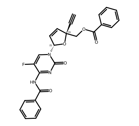 C#C[C@]1(COC(=O)c2ccccc2)C=C[C@@H](n2cc(F)c(NC(=O)c3ccccc3)nc2=O)O1